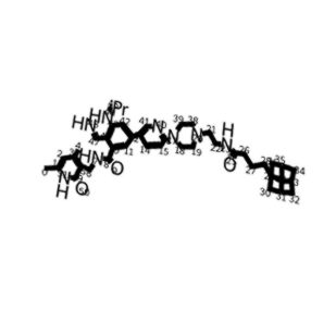 Cc1cc(C)c(CNC(=O)c2cc(-c3ccc(N4CCN(CCNC(=O)CCCC56CC7CC8CC(C5)C876)CC4)nc3)cc(NC(C)C)c2C=N)c(=O)[nH]1